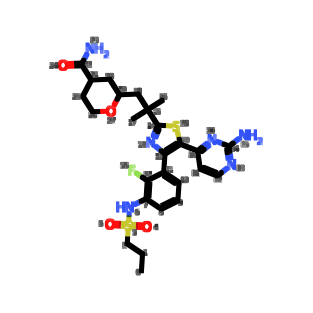 CCCS(=O)(=O)Nc1cccc(-c2nc(C(C)(C)CC3CC(C(N)=O)CCO3)sc2-c2ccnc(N)n2)c1F